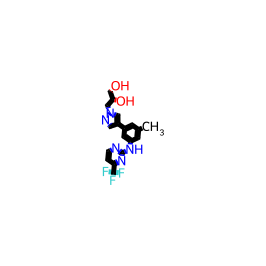 Cc1cc(Nc2nccc(C(F)(F)F)n2)cc(-c2cnn(CC(O)CO)c2)c1